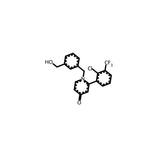 O=c1ccn(Cc2cccc(CO)c2)c(-c2cccc(C(F)(F)F)c2Cl)c1